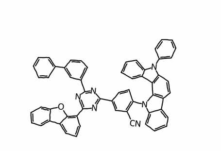 N#Cc1cc(-c2nc(-c3cccc(-c4ccccc4)c3)nc(-c3cccc4c3oc3ccccc34)n2)ccc1-n1c2ccccc2c2ccc3c(c4ccccc4n3-c3ccccc3)c21